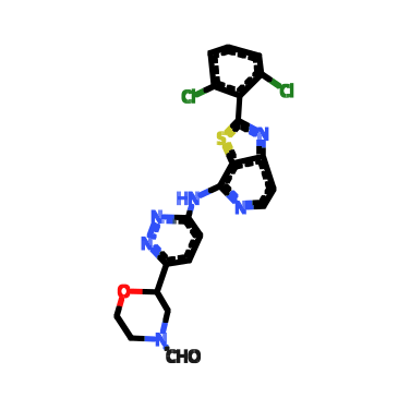 O=CN1CCOC(c2ccc(Nc3nccc4nc(-c5c(Cl)cccc5Cl)sc34)nn2)C1